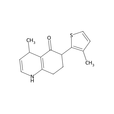 Cc1ccsc1C1CCC2=C(C1=O)C(C)C=CN2